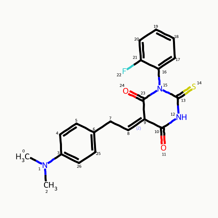 CN(C)c1ccc(C/C=C2/C(=O)NC(=S)N(c3ccccc3F)C2=O)cc1